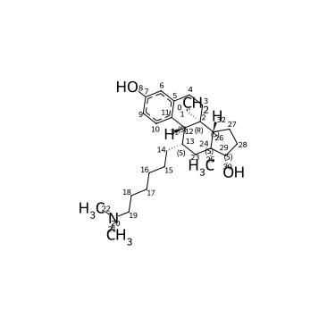 C=C[C@@]12CCc3cc(O)ccc3[C@H]1[C@@H](CCCCCCN(C)C)C[C@@]1(C)[C@H]2CC[C@@H]1O